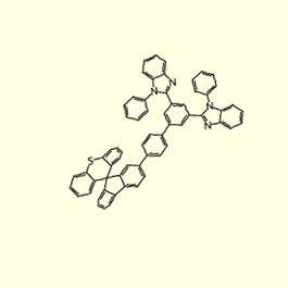 c1ccc(-n2c(-c3cc(-c4ccc(-c5ccc6c(c5)C5(c7ccccc7Sc7ccccc75)c5ccccc5-6)cc4)cc(-c4nc5ccccc5n4-c4ccccc4)c3)nc3ccccc32)cc1